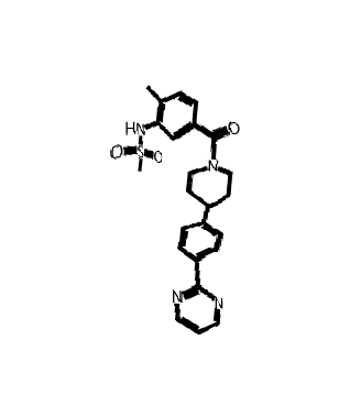 Cc1ccc(C(=O)N2CCC(c3ccc(-c4ncccn4)cc3)CC2)cc1NS(C)(=O)=O